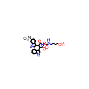 Cn1cc(C2=C(c3cn(C)c4cc([N+](=O)[O-])ccc34)C(=O)N(OC(=O)NCCCCO)C2=O)c2ccccc21